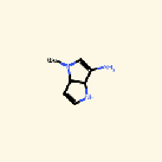 CC(C)(C)N1C=C(N)C2NC=CC21